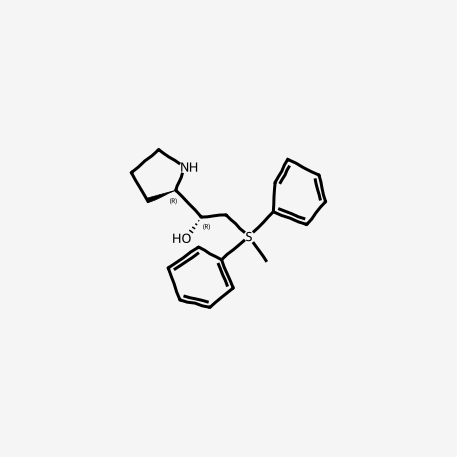 CS(C[C@H](O)[C@H]1CCCN1)(c1ccccc1)c1ccccc1